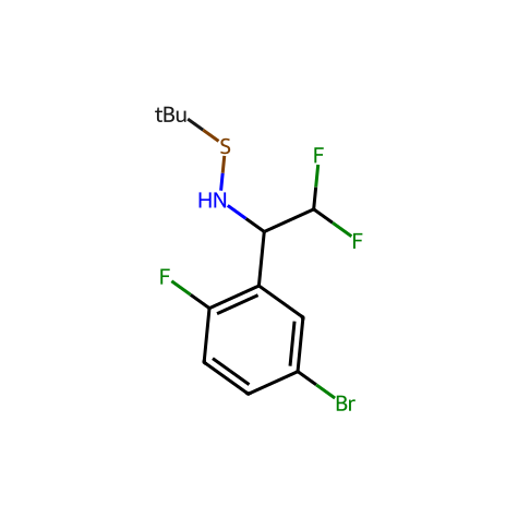 CC(C)(C)SNC(c1cc(Br)ccc1F)C(F)F